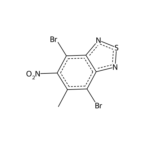 Cc1c([N+](=O)[O-])c(Br)c2nsnc2c1Br